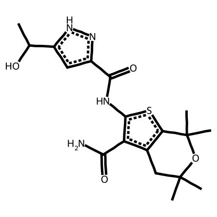 CC(O)c1cc(C(=O)Nc2sc3c(c2C(N)=O)CC(C)(C)OC3(C)C)n[nH]1